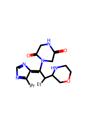 CCC(C(=C1N=CN=C1C(C)C)N1CC(=O)NCC1=O)C1COCCN1